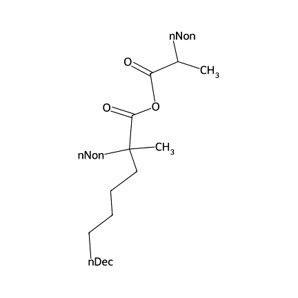 CCCCCCCCCCCCCCC(C)(CCCCCCCCC)C(=O)OC(=O)C(C)CCCCCCCCC